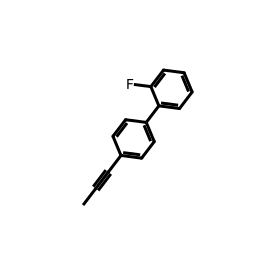 CC#Cc1ccc(-c2ccccc2F)cc1